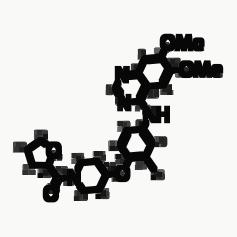 COc1cc2ncnc(Nc3ccc(OC4CCN(C(=O)C5CCCO5)CC4)c(C)c3)c2cc1OC